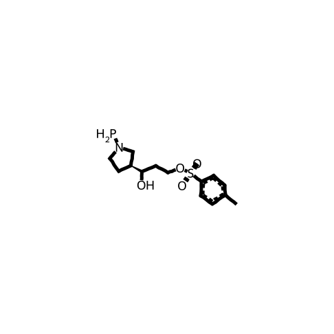 Cc1ccc(S(=O)(=O)OCCC(O)[C@H]2CCN(P)C2)cc1